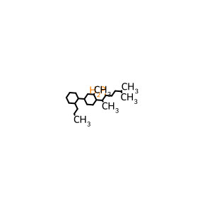 CCCC1CCCCC1C1CCC(C(C)C(P)CCC(C)C)C(C)C1